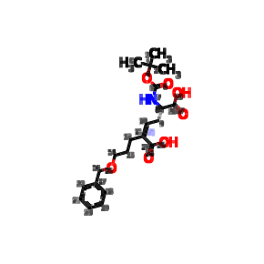 CC(C)(C)OC(=O)N[C@@H](C/C=C(/CCCOCc1ccccc1)C(=O)O)C(=O)O